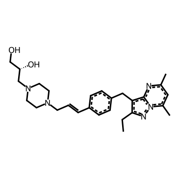 CCc1nn2c(C)cc(C)nc2c1Cc1ccc(C=CCN2CCN(C[C@@H](O)CO)CC2)cc1